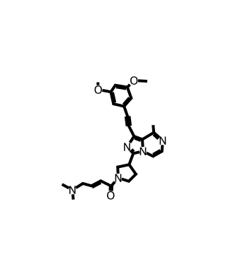 COc1cc(C#Cc2nc(C3CCN(C(=O)/C=C/CN(C)C)C3)n3ccnc(C)c23)cc(OC)c1